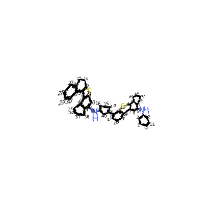 c1ccc(Nc2cc3c4cccc(-c5cccc(Nc6cc7sc8ccc9ccccc9c8c7c7ccccc67)c5)c4sc3c3ccccc23)cc1